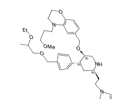 CCOC(C)COCc1ccc([C@H]2C[C@H](CCn3cnnc3)NC[C@@H]2OCc2ccc3c(c2)N(CCCOC)CCO3)cc1